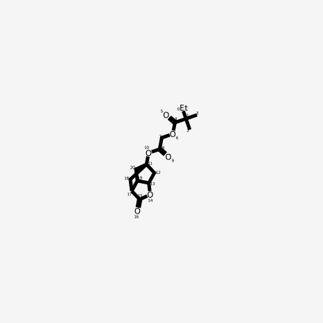 CCC(C)(C)C(=O)OCC(=O)OC12CC3OC(=O)C(C1)C3C2